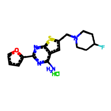 Cl.Nc1nc(-c2ccco2)nc2sc(CN3CCC(F)CC3)cc12